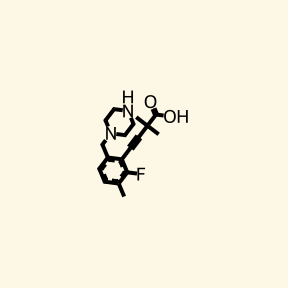 Cc1ccc(CN2CCNCC2)c(C#CC(C)(C)C(=O)O)c1F